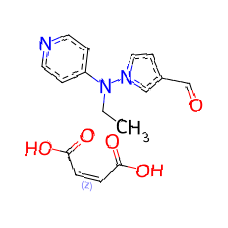 CCN(c1ccncc1)n1ccc(C=O)c1.O=C(O)/C=C\C(=O)O